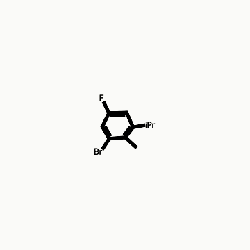 Cc1c(Br)cc(F)cc1C(C)C